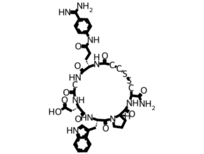 N=C(N)c1ccc(NC(=O)CC[C@@H]2NC(=O)CCSSCC(C(N)=O)NC(=O)[C@@H]3CCCN3C(=O)[C@H](Cc3c[nH]c4ccccc34)NC(=O)[C@H](CC(=O)O)NC(=O)CNC2=O)cc1